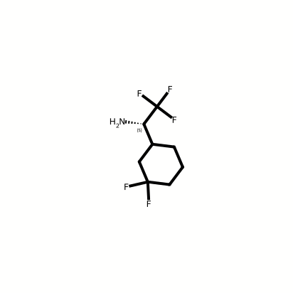 N[C@@H](C1CCCC(F)(F)C1)C(F)(F)F